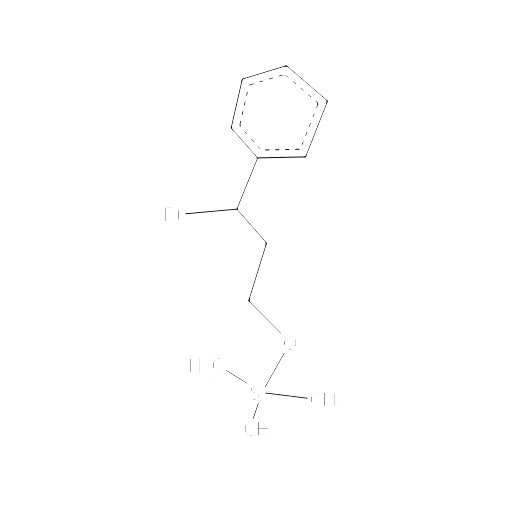 CCC(CCO[Si](C)(C)C)c1ccccc1